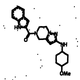 COC1CCC(Nc2cc3n(n2)CCN(C(=O)c2cc4ccccc4[nH]2)C3)CC1